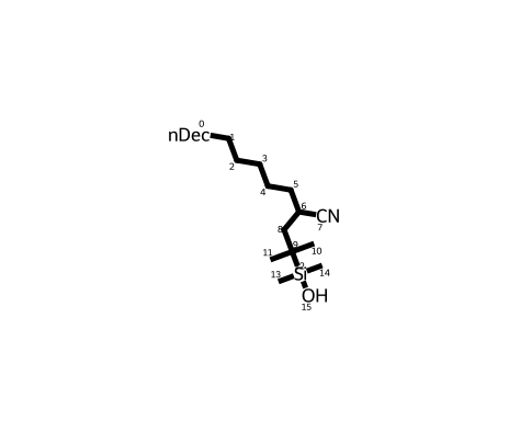 CCCCCCCCCCCCCCCC(C#N)CC(C)(C)[Si](C)(C)O